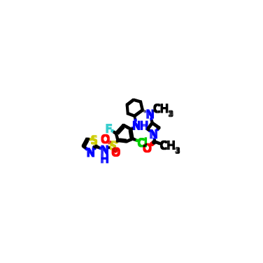 CC(=O)N1CC(N(C)[C@H]2CCCC[C@@H]2Nc2cc(F)c(S(=O)(=O)Nc3nccs3)cc2Cl)C1